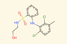 Cc1ccc(Cl)c(Nc2ccccc2S(=O)(=O)NCCO)c1Cl